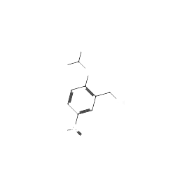 O=[N+]([O-])c1ccc(OC(F)F)c(CO)c1